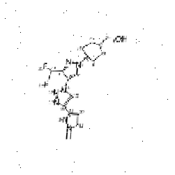 OCC1CCC(n2cc(-n3cc(-c4cc[nH]n4)nn3)c(C(F)F)n2)CC1